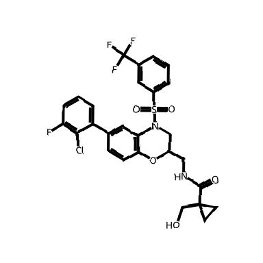 O=C(NCC1CN(S(=O)(=O)c2cccc(C(F)(F)F)c2)c2cc(-c3cccc(F)c3Cl)ccc2O1)C1(CO)CC1